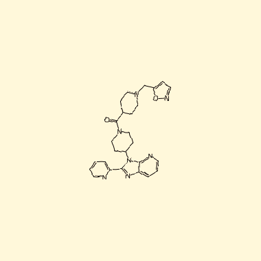 O=C(C1CCN(Cc2ccno2)CC1)N1CCC(n2c(-c3ccccn3)nc3cccnc32)CC1